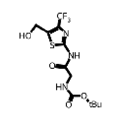 CC(C)(C)OC(=O)NCC(=O)Nc1nc(C(F)(F)F)c(CO)s1